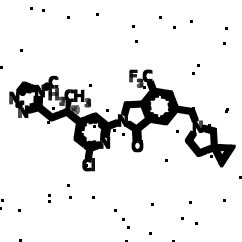 C[C@H](Cc1nncn1C)c1cc(Cl)nc(N2Cc3c(cc(CN4CCC5(CC5)C4)cc3C(F)(F)F)C2=O)c1